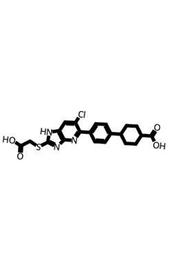 O=C(O)CSc1nc2nc(-c3ccc(C4CCC(C(=O)O)CC4)cc3)c(Cl)cc2[nH]1